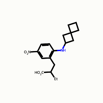 CCC(Cc1cc([N+](=O)[O-])ccc1NC1CC2(CCC2)C1)C(=O)O